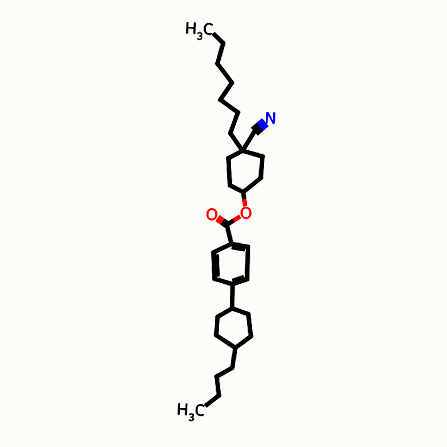 CCCCCCCC1(C#N)CCC(OC(=O)c2ccc(C3CCC(CCCC)CC3)cc2)CC1